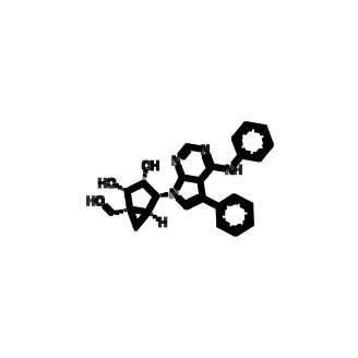 OC[C@@]12C[C@@H]1[C@@H](N1C=C(c3ccccc3)C3C(Nc4ccccc4)=NC=NC31)[C@@H](O)[C@H]2O